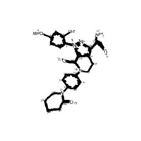 CCc1cc(OC)ccc1-n1nc(C(N)=O)c2c1C(=O)N(c1ccc(N3CCCCC3=O)cc1)CC2